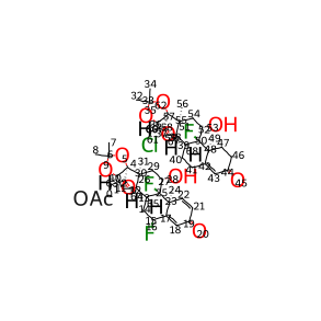 CC(=O)OCC(=O)[C@@]12OC(C)(C)O[C@@H]1C[C@H]1[C@@H]3C[C@H](F)C4=CC(=O)C=C[C@]4(C)[C@@]3(F)[C@@H](O)C[C@@]12C.CC1(C)O[C@@H]2C[C@H]3[C@@H]4CCC5=CC(=O)CC[C@]5(C)[C@@]4(F)[C@@H](O)C[C@]3(C)[C@]2(C(=O)CCl)O1